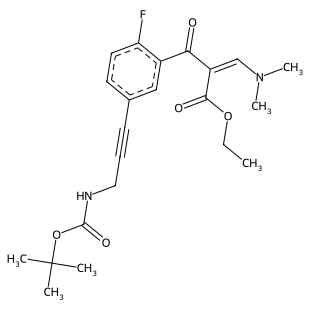 CCOC(=O)C(=CN(C)C)C(=O)c1cc(C#CCNC(=O)OC(C)(C)C)ccc1F